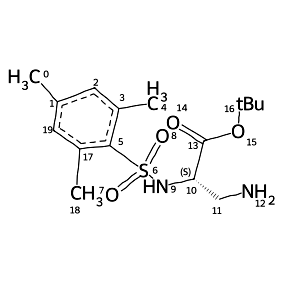 Cc1cc(C)c(S(=O)(=O)N[C@@H](CN)C(=O)OC(C)(C)C)c(C)c1